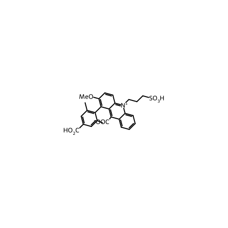 COc1ccc2c(c1-c1c(C)cc(C(=O)O)cc1C)c(C(=O)[O-])c1ccccc1[n+]2CCCS(=O)(=O)O